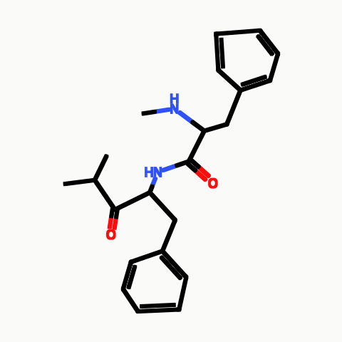 CNC(Cc1ccccc1)C(=O)NC(Cc1ccccc1)C(=O)C(C)C